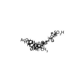 CC(=O)OC1CC[C@@]2(C)[C@@H](C1)CC(OC(C)=O)[C@@H]1[C@@H]2CC(OC(C)=O)[C@]2(C)[C@@H]([C@H](C)CCC(=O)OCCCC(=O)OCC(F)(F)S(=O)(=O)O)CC[C@@H]12